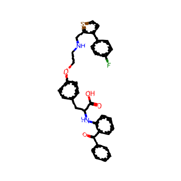 O=C(c1ccccc1)c1ccccc1NC(Cc1ccc(OCCNCc2sccc2-c2ccc(F)cc2)cc1)C(=O)O